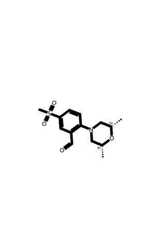 C[C@@H]1CN(c2ccc(S(C)(=O)=O)cc2C=O)C[C@H](C)O1